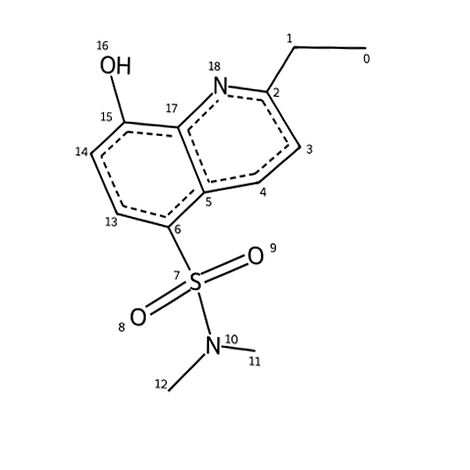 CCc1ccc2c(S(=O)(=O)N(C)C)ccc(O)c2n1